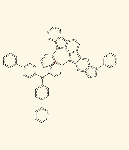 c1ccc(-c2ccc(N(c3ccc(-c4ccccc4)cc3)c3ccc(-n4c5cc6ccn(-c7ccccc7)c6cc5c5ccc6c7ccccc7n(-c7ccccc7)c6c54)cc3)cc2)cc1